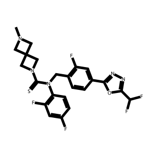 CN1CC2(C1)CN(C(=S)N(Cc1ccc(-c3nnc(C(F)F)o3)cc1F)c1ccc(F)cc1F)C2